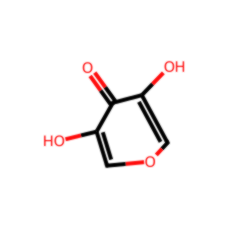 O=c1c(O)cocc1O